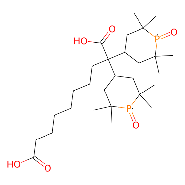 CC1(C)CC(C(CCCCCCCC(=O)O)(C(=O)O)C2CC(C)(C)[P](=O)C(C)(C)C2)CC(C)(C)[P]1=O